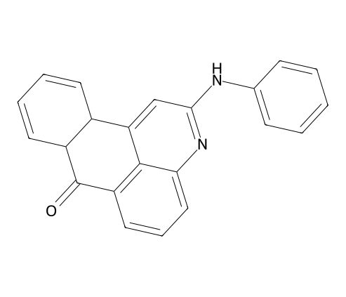 O=C1c2cccc3nc(Nc4ccccc4)cc(c23)C2C=CC=CC12